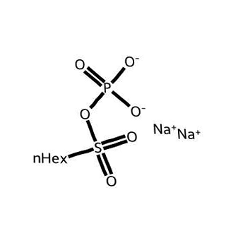 CCCCCCS(=O)(=O)OP(=O)([O-])[O-].[Na+].[Na+]